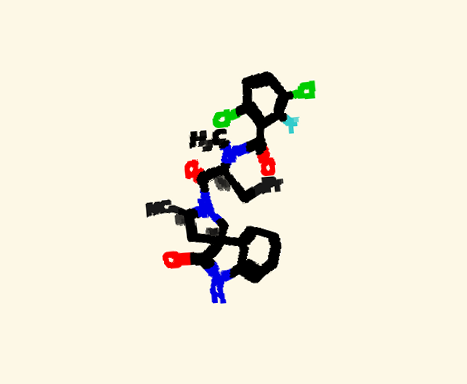 CC(C)C[C@@H](C(=O)N1C[C@]2(C[C@H]1C#N)C(=O)Nc1ccccc12)N(C)C(=O)c1c(Cl)ccc(Cl)c1F